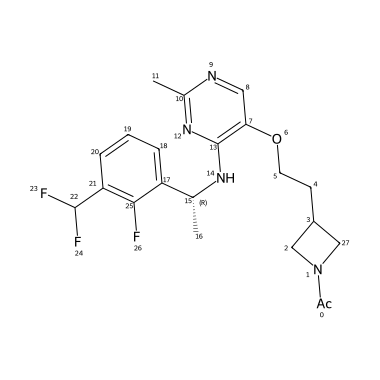 CC(=O)N1CC(CCOc2cnc(C)nc2N[C@H](C)c2cccc(C(F)F)c2F)C1